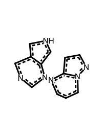 c1cnc2ccnn2c1.c1ncc2c[nH]cc2n1